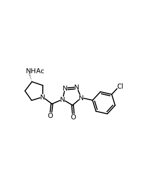 CC(=O)N[C@H]1CCN(C(=O)n2nnn(-c3cccc(Cl)c3)c2=O)C1